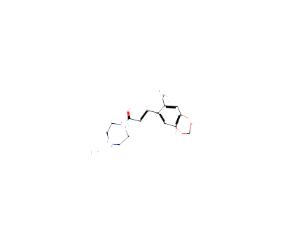 CCCN1CCN(C(=O)/C=C/c2cc3c(cc2[N+](=O)[O-])OCO3)CC1